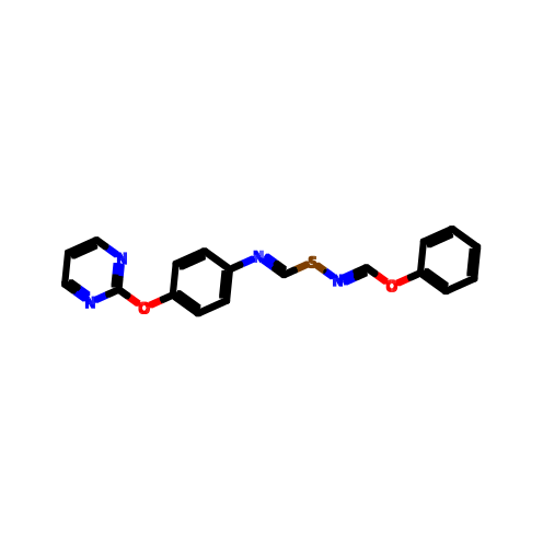 C(=N\S/C=N/c1ccc(Oc2ncccn2)cc1)/Oc1ccccc1